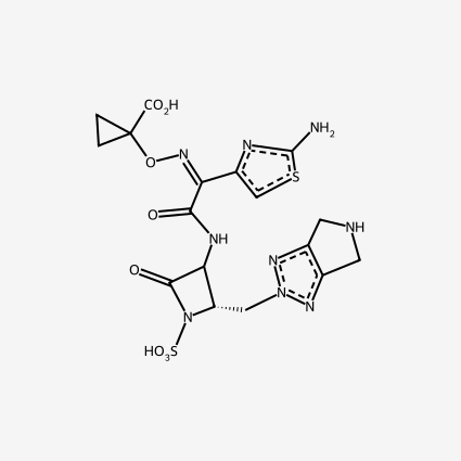 Nc1nc(/C(=N/OC2(C(=O)O)CC2)C(=O)NC2C(=O)N(S(=O)(=O)O)[C@H]2Cn2nc3c(n2)CNC3)cs1